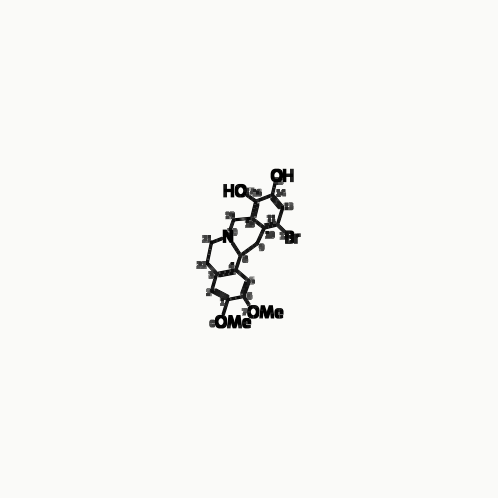 COc1cc2c(cc1OC)C1Cc3c(Br)cc(O)c(O)c3CN1CC2